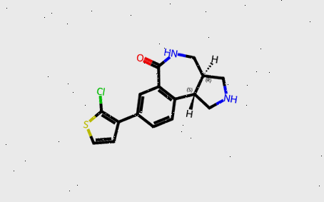 O=C1NC[C@H]2CNC[C@@H]2c2ccc(-c3ccsc3Cl)cc21